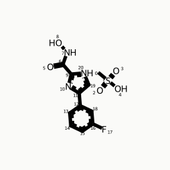 CS(=O)(=O)O.O=C(NO)c1nc(-c2cccc(F)c2)c[nH]1